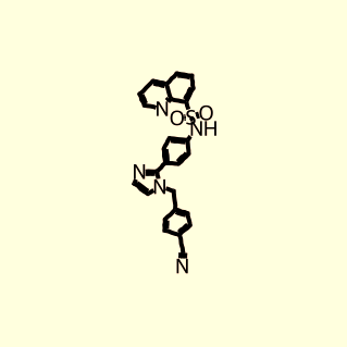 N#Cc1ccc(Cn2ccnc2-c2ccc(NS(=O)(=O)c3cccc4cccnc34)cc2)cc1